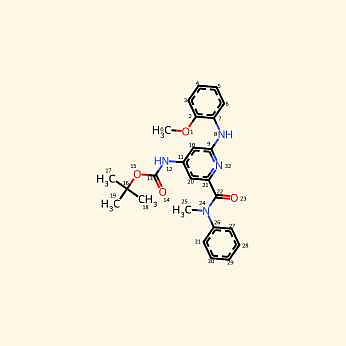 COc1ccccc1Nc1cc(NC(=O)OC(C)(C)C)cc(C(=O)N(C)c2ccccc2)n1